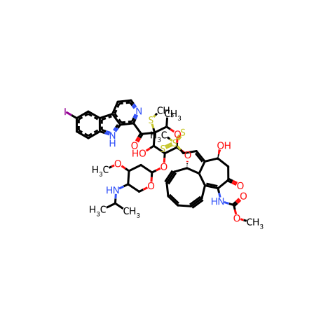 COC(=O)NC1=C2C#C/C=C\C#C[C@H](OC3OC(C)C(SC)(C(=O)c4nccc5c4[nH]c4ccc(I)cc45)C(O)C3OC3CC(OC)C(NC(C)C)CO3)C2/C(=C\CS(C)(=S)=S)[C@@H](O)CC1=O